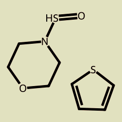 O=[SH]N1CCOCC1.c1ccsc1